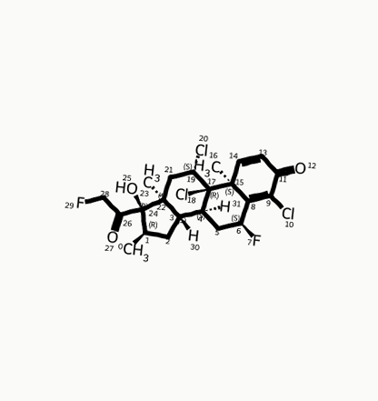 C[C@@H]1C[C@H]2[C@@H]3C[C@H](F)C4=C(Cl)C(=O)C=C[C@]4(C)[C@@]3(Cl)[C@@H](Cl)C[C@]2(C)[C@@]1(O)C(=O)CF